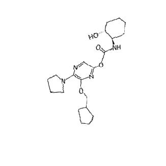 O=C(N[C@@H]1CCCC[C@H]1O)Oc1cnc(N2CCCC2)c(OCC2CCCC2)n1